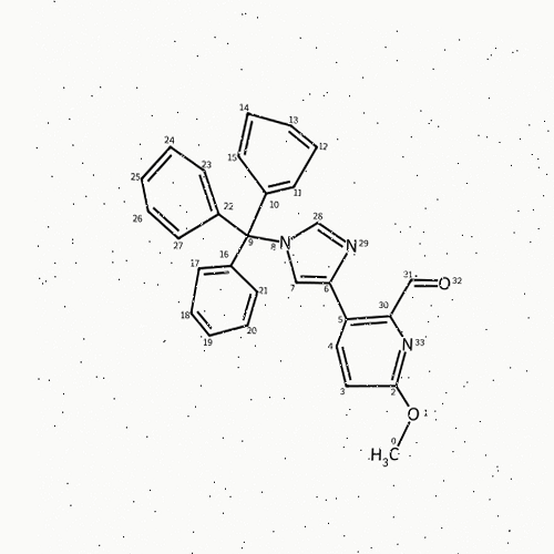 COc1ccc(-c2cn(C(c3ccccc3)(c3ccccc3)c3ccccc3)cn2)c(C=O)n1